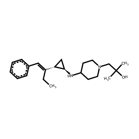 CC/C(=C\c1ccccc1)[C@@H]1C[C@H]1NC1CCN(CC(C)(C)O)CC1